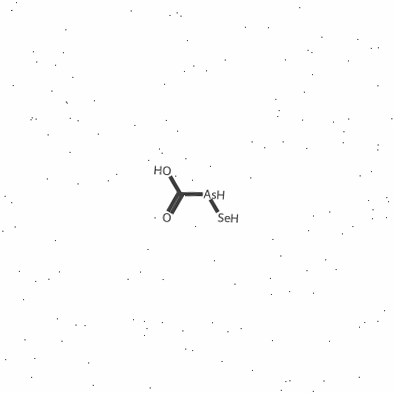 O=C(O)[AsH][SeH]